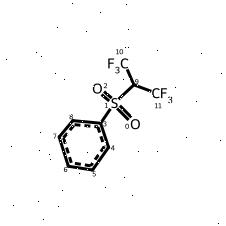 O=S(=O)(c1ccccc1)C(C(F)(F)F)C(F)(F)F